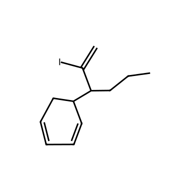 C=C(I)C(CCC)C1C=CC=CC1